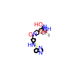 O=C(c1ccc(NSc2cccc3nccnc23)cc1)N1CCC(O)(Cc2c(O)n[nH]c2C(F)(F)F)CC1